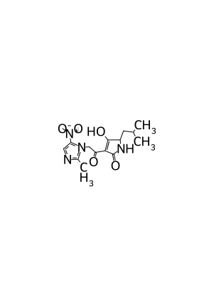 Cc1ncc([N+](=O)[O-])n1CC(=O)C1=C(O)C(CC(C)C)NC1=O